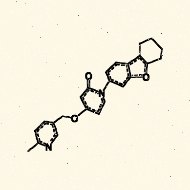 Cc1ccc(COc2ccn(-c3ccc4c5c(oc4c3)CCCC5)c(=O)c2)cn1